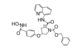 O=C(NO)c1ccc(OC2C[C@@H](C(=O)Nc3cccc4cccnc34)N(C(=O)OCc3ccccc3)C2)cc1